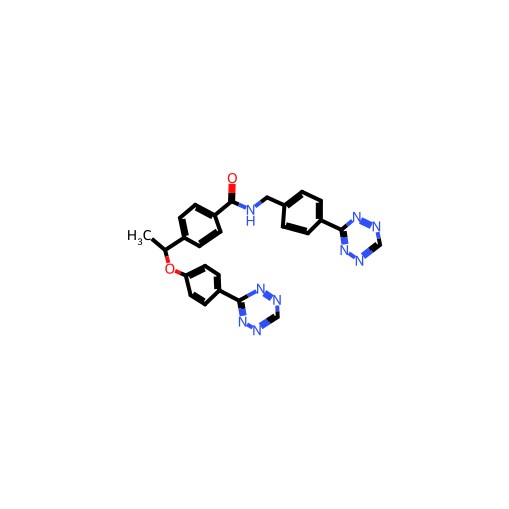 CC(Oc1ccc(-c2nncnn2)cc1)c1ccc(C(=O)NCc2ccc(-c3nncnn3)cc2)cc1